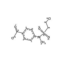 CN(c1ccc(C(=O)Cl)cc1)S(=O)(=O)CCCl